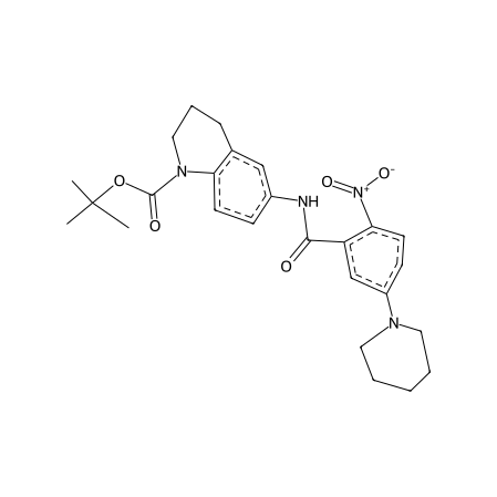 CC(C)(C)OC(=O)N1CCCc2cc(NC(=O)c3cc(N4CCCCC4)ccc3[N+](=O)[O-])ccc21